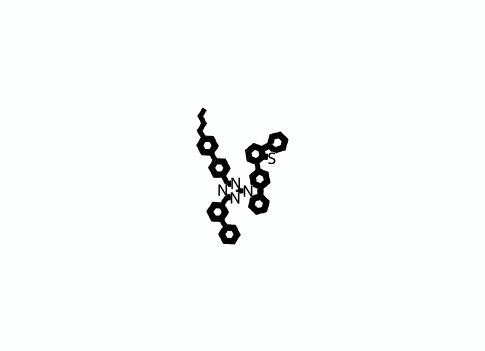 CCCCc1ccc(-c2ccc(-c3nc(-c4cccc(-c5ccccc5)c4)nc(-n4c5ccccc5c5ccc(-c6cccc7c6sc6ccccc67)cc54)n3)cc2)cc1